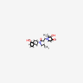 CCCN(C(=O)CCn1ccc(=O)c(O)c1C)[C@H]1CCc2c(O)cccc2C1